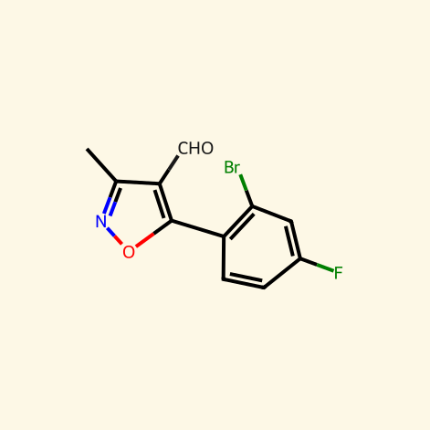 Cc1noc(-c2ccc(F)cc2Br)c1C=O